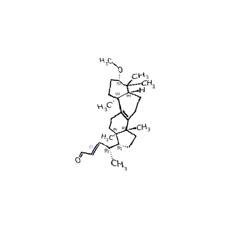 CO[C@H]1CC[C@]2(C)C3=C(CC[C@H]2C1(C)C)[C@]1(C)CC[C@H]([C@H](C)/C=C/C=O)[C@@]1(C)CC3